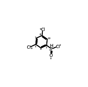 O=[PH](Cl)c1cc(Cl)cc(Cl)c1